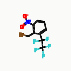 O=[N+]([O-])c1cccc(C(F)(F)C(F)(F)F)c1CBr